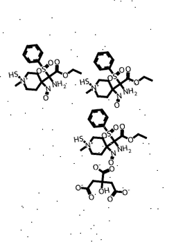 CCOC(=O)C(N)(C1(N=O)CC[N+](C)(S)CC1)S(=O)(=O)c1ccccc1.CCOC(=O)C(N)(C1(N=O)CC[N+](C)(S)CC1)S(=O)(=O)c1ccccc1.CCOC(=O)C(N)(C1(N=O)CC[N+](C)(S)CC1)S(=O)(=O)c1ccccc1.O=C([O-])CC(O)(CC(=O)[O-])C(=O)[O-]